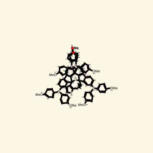 COc1ccc(N(c2ccc(OC)cc2)c2ccc3c(c2)C2(OC4(c5cc(N(c6ccc(OC)cc6)c6ccc(OC)cc6)ccc5-c5ccc(N(c6ccc(OC)cc6)c6ccc(OC)cc6)cc54)c4ccsc4-c4sccc42)c2cc(N(c4ccc(OC)cc4)c4ccc(OC)cc4)ccc2-3)cc1